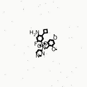 COc1ccc(CN(c2ccncn2)S(=O)(=O)c2cc(C3CCC3)c(N)cc2F)c(OC)c1